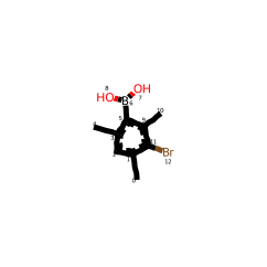 Cc1cc(C)c(B(O)O)c(C)c1Br